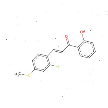 CSc1ccc(C=CC(=O)c2ccccc2O)c(F)c1